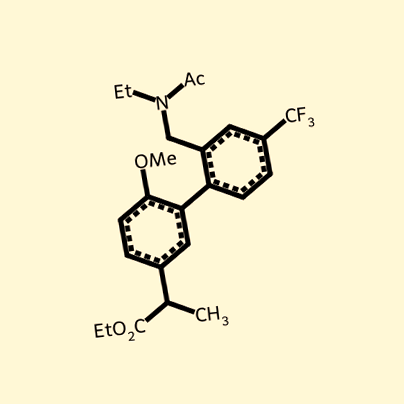 CCOC(=O)C(C)c1ccc(OC)c(-c2ccc(C(F)(F)F)cc2CN(CC)C(C)=O)c1